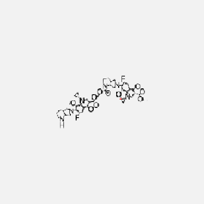 [CH2]OC(=O)c1cn(C2CC2)c2c(OC)c(N3CC4CCCN(C(=O)OCOC(=O)c5cn(C6CC6)c6c(OC)c(N7CC8CCCNC8C7)c(F)cc6c5=O)C4C3)c(F)cc2c1=O